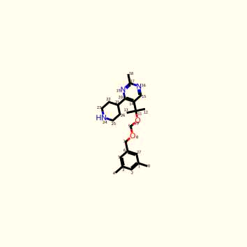 Cc1cc(C)cc(COCOC(C)(C)c2cnc(C)nc2C2CCNCC2)c1